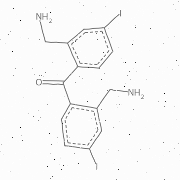 NCc1cc(I)ccc1C(=O)c1ccc(I)cc1CN